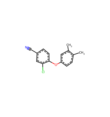 Cc1ccc(Oc2ccc(C#N)cc2Cl)cc1C